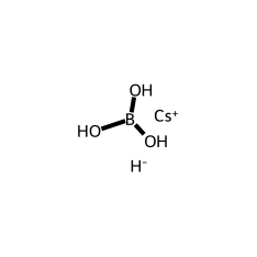 OB(O)O.[Cs+].[H-]